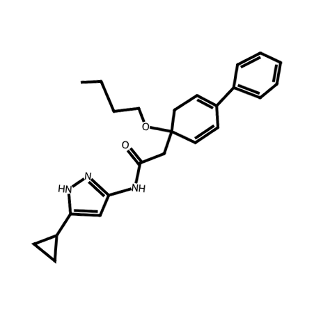 CCCCOC1(CC(=O)Nc2cc(C3CC3)[nH]n2)C=CC(c2ccccc2)=CC1